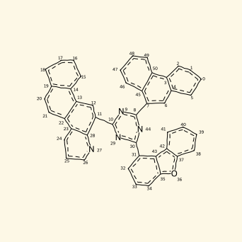 c1ccc2c(c1)cc(-c1nc(-c3cc4c5ccccc5ccc4c4cccnc34)nc(-c3cccc4oc5ccccc5c34)n1)c1ccccc12